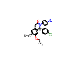 COc1cc2c(cc1OCC(F)(F)F)[C@H](c1ccc(Cl)cc1)N(c1ccc(N(C)C)cc1)C(=O)C2